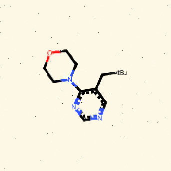 CC(C)(C)Cc1cncnc1N1CCOCC1